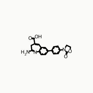 NC1=Nc2ccc(-c3ccc(N4CCOC4=O)cc3)cc2C=C(C(=O)O)C1